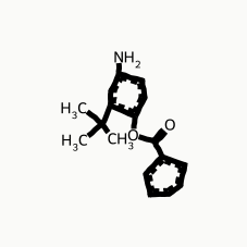 CC(C)(C)c1cc(N)ccc1OC(=O)c1ccccc1